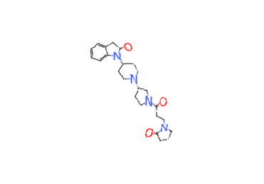 O=C1CCCN1CCC(=O)N1CC[C@H](N2CCC(N3C(=O)Cc4ccccc43)CC2)C1